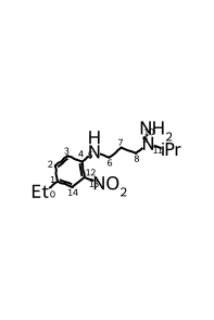 CCc1ccc(NCCCN(N)C(C)C)c([N+](=O)[O-])c1